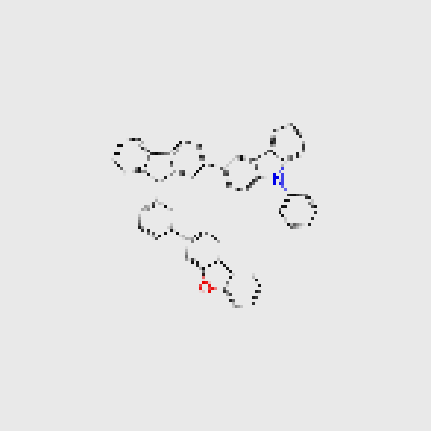 c1ccc(-n2c3ccccc3c3cc(-c4ccc5c(c4)C(c4cccc(-c6ccc7c(c6)oc6ccccc67)c4)c4ccccc4-5)ccc32)cc1